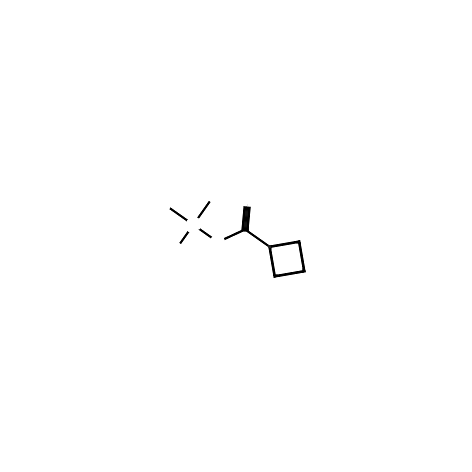 CC[Si](C)(C)OC(=O)C1CCC1